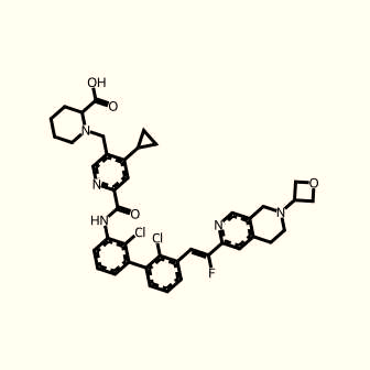 O=C(Nc1cccc(-c2cccc(C=C(F)c3cc4c(cn3)CN(C3COC3)CC4)c2Cl)c1Cl)c1cc(C2CC2)c(CN2CCCCC2C(=O)O)cn1